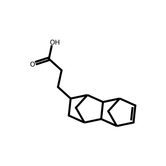 O=C(O)CCC1CC2CC1C1C3C=CC(C3)C21